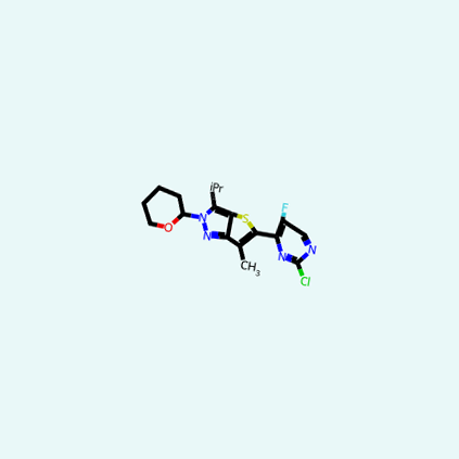 Cc1c(-c2nc(Cl)ncc2F)sc2c(C(C)C)n(C3CCCCO3)nc12